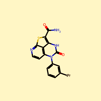 CC(C)c1cccc(N2C(=O)Nc3c(C(N)=O)sc4nccc2c34)c1